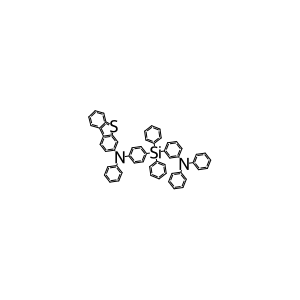 c1ccc(N(c2ccccc2)c2cccc([Si](c3ccccc3)(c3ccccc3)c3ccc(N(c4ccccc4)c4ccc5c(c4)sc4ccccc45)cc3)c2)cc1